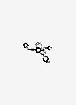 COc1cc2c(NC3COC3)nc(N3CCC(F)(F)CC3)nc2cc1C#CCN1CCCC1